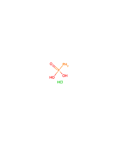 Cl.O=P(O)(O)P